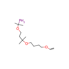 C=COCCCCOC(C)(C)CCOC(C)(C)P